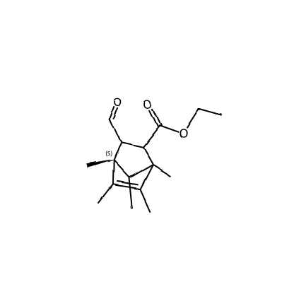 CCOC(=O)C1C(C=O)[C@@]2(C)C(C)=C(C)C1(C)C2C